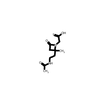 CC(=O)NCCC1(C)CC(=O)N1CC(O)=S